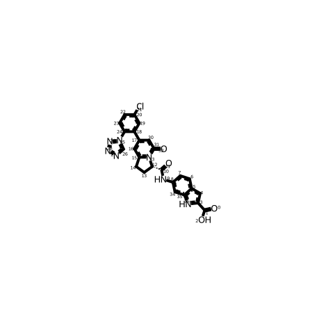 O=C(O)c1cc2ccc(NC(=O)[C@@H]3CCc4cc(-c5cc(Cl)ccc5-n5cnnn5)cc(=O)n43)cc2[nH]1